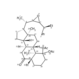 CC[C@@H](C(C)C)C1OC1[C@@H](C)[C@H]1CC[C@H]2[C@@H]3CC(=O)[C@H]4CCCC(OC(C)=O)(OC(C)=O)[C@]4(C)[C@H]3CC[C@]12C